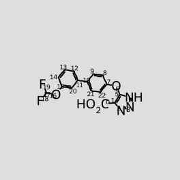 O=C(O)c1nn[nH]c1Oc1ccc(-c2cccc(OC(F)F)c2)cc1